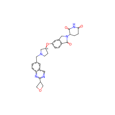 O=C1CCC(N2Cc3cc(O[C@H]4CCN(Cc5ccc6nc(C7COC7)ncc6c5)C4)ccc3C2=O)C(=O)N1